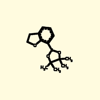 CC1(C)OB(c2cccc3c2OCC3)OC1(C)C